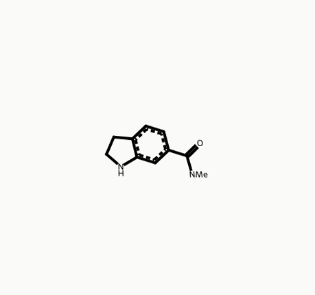 CNC(=O)c1ccc2c(c1)NCC2